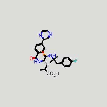 C/P=C(/NC(C)(C)Cc1ccc(F)cc1)[C@H](CC(C)C(=O)O)NC(=O)c1ccc(-c2cnccn2)cc1